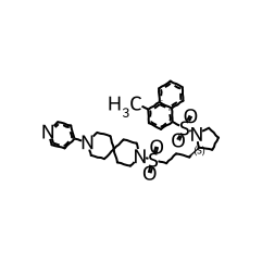 Cc1ccc(S(=O)(=O)N2CCC[C@H]2CCCS(=O)(=O)N2CCC3(CCN(c4ccncc4)CC3)CC2)c2ccccc12